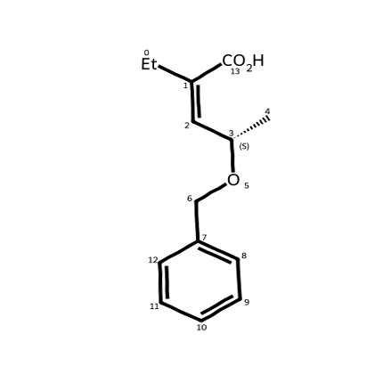 CCC(=C[C@H](C)OCc1ccccc1)C(=O)O